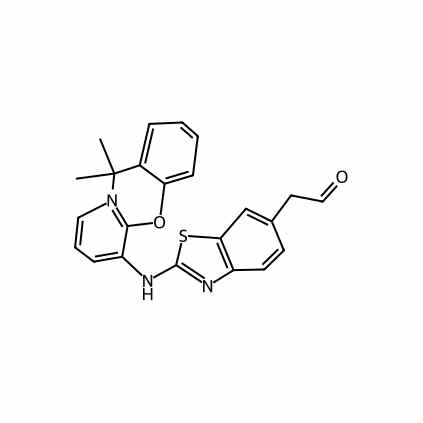 CC(C)(C)c1ccccc1Oc1ncccc1Nc1nc2ccc(CC=O)cc2s1